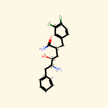 NC(=O)[C@@H](Cc1ccc(Cl)c(Cl)c1)C[C@H](O)[C@@H](N)Cc1ccccc1